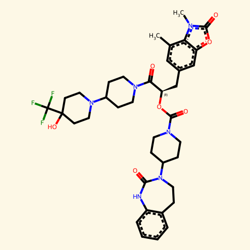 Cc1cc(C[C@@H](OC(=O)N2CCC(N3CCc4ccccc4NC3=O)CC2)C(=O)N2CCC(N3CCC(O)(C(F)(F)F)CC3)CC2)cc2oc(=O)n(C)c12